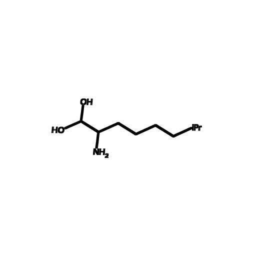 CC(C)CCCCC(N)C(O)O